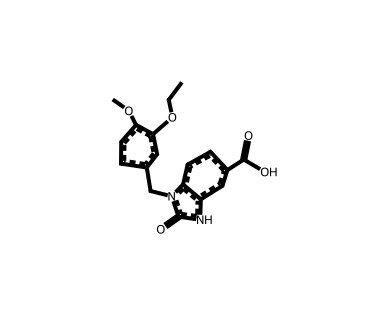 CCOc1cc(Cn2c(=O)[nH]c3cc(C(=O)O)ccc32)ccc1OC